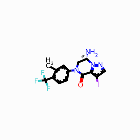 Cc1cc(N2C[C@H](N)n3ncc(I)c3C2=O)ccc1C(F)(F)F